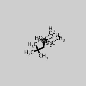 CC(=O)O.CC(=O)O.CC(=O)O.CCC(C)(C)C